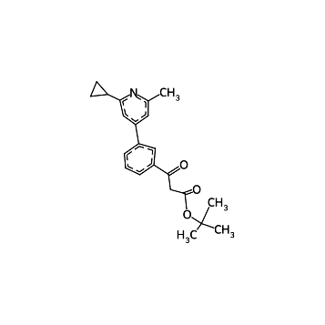 Cc1cc(-c2cccc(C(=O)CC(=O)OC(C)(C)C)c2)cc(C2CC2)n1